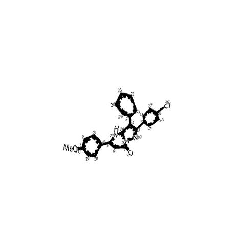 COc1ccc(-c2cc(=O)n3nc(-c4ccc(Cl)cc4)c(-c4ccccc4)c3[nH]2)cc1